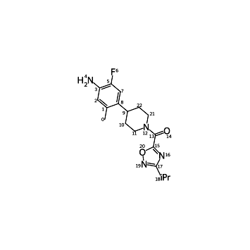 Cc1cc(N)c(F)cc1C1CCN(C(=O)c2nc(C(C)C)no2)CC1